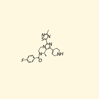 Cc1nsc(-c2nc(C3=CCNCC3)c3n2CCN(C(=O)c2ccc(F)cc2)[C@@H]3C)n1